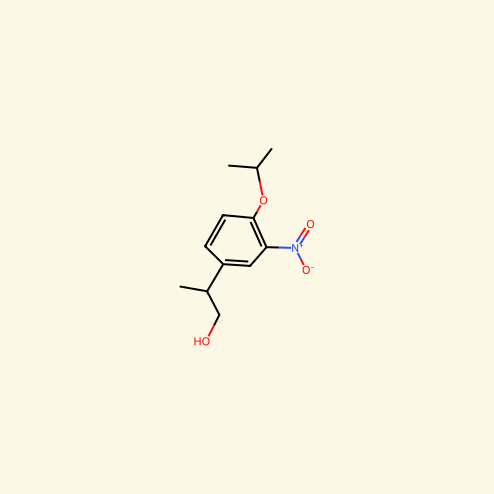 C[C](CO)c1ccc(OC(C)C)c([N+](=O)[O-])c1